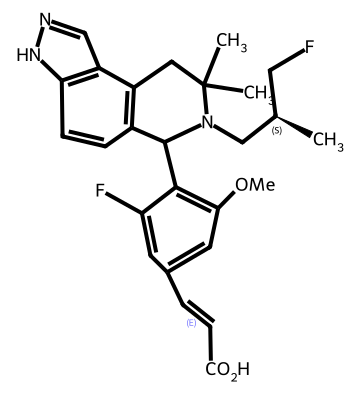 COc1cc(/C=C/C(=O)O)cc(F)c1C1c2ccc3[nH]ncc3c2CC(C)(C)N1C[C@H](C)CF